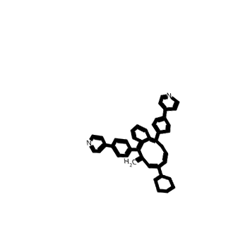 C=C1/C=C(C2CCCCC2)\C=C/C/C(c2ccc(-c3ccncc3)cc2)=c2/cccc/c2=C/1c1ccc(-c2ccncc2)cc1